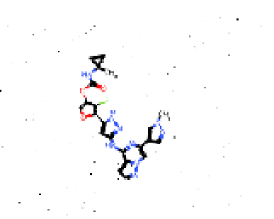 Cn1cc(-c2cn3nccc3c(Nc3cc([C@H]4OC[C@@H](OC(=O)NC5(C)CC5)[C@H]4F)[nH]n3)n2)cn1